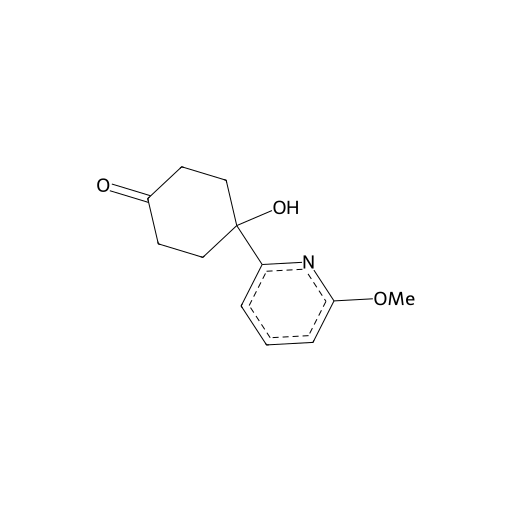 COc1cccc(C2(O)CCC(=O)CC2)n1